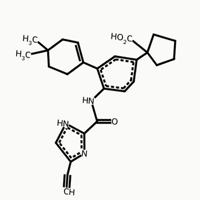 C#Cc1c[nH]c(C(=O)Nc2ccc(C3(C(=O)O)CCCC3)cc2C2=CCC(C)(C)CC2)n1